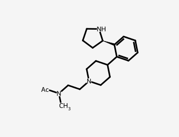 CC(=O)N(C)CCN1CCC(c2ccccc2[C@H]2CCCN2)CC1